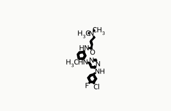 Cc1ccc(NC(=O)/C=C/CN(C)C)cc1Nc1cc(Nc2ccc(F)c(Cl)c2)ncn1